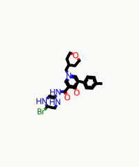 Cc1ccc(-c2cn(CC3CCOCC3)cc(C(=O)NC3=CNC(Br)CN3)c2=O)cc1